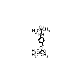 CC(C)(C)CNc1ccc(COC(=O)C(C)(C)C)cc1